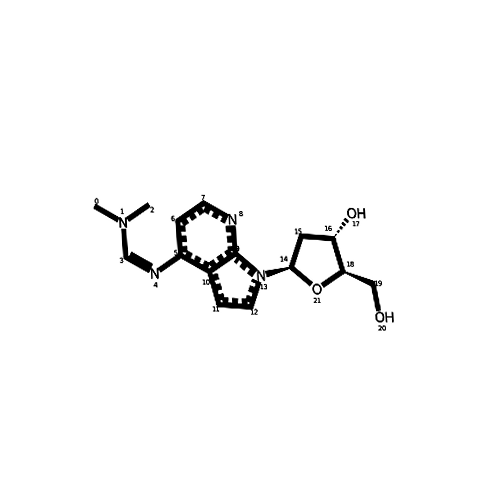 CN(C)/C=N\c1ccnc2c1ccn2[C@H]1C[C@H](O)[C@@H](CO)O1